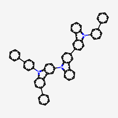 c1ccc(-c2ccc(-n3c4ccc(-c5ccccc5)cc4c4cc(-n5c6ccccc6c6cc(-c7ccc8c(c7)c7ccccc7n8-c7cccc(-c8ccccc8)c7)ccc65)ccc43)cc2)cc1